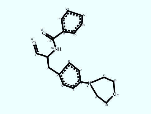 O=CC(Cc1ccc(N2CCOCC2)cc1)NC(=O)c1ccccc1